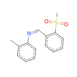 Cc1ccccc1/N=C\c1ccccc1S(C)(=O)=O